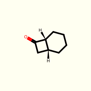 O=C1C[C@H]2CCCC[C@@H]12